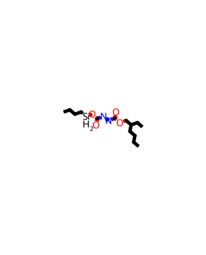 CCCC[SiH2]OC(=O)N=NC(=O)OCC(CC)CCCC